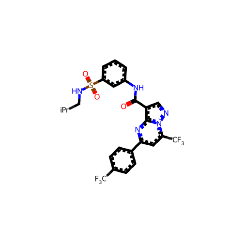 CC(C)CNS(=O)(=O)c1cccc(NC(=O)c2cnn3c(C(F)(F)F)cc(-c4ccc(C(F)(F)F)cc4)nc23)c1